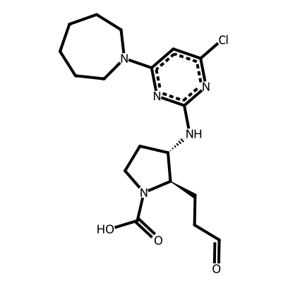 O=CCC[C@@H]1[C@@H](Nc2nc(Cl)cc(N3CCCCCC3)n2)CCN1C(=O)O